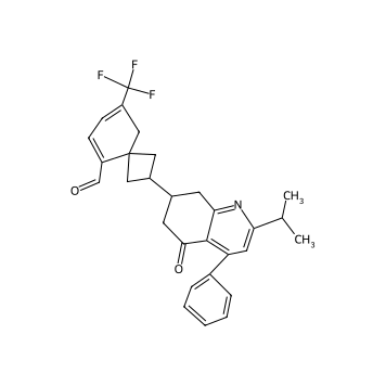 CC(C)c1cc(-c2ccccc2)c2c(n1)CC(C1CC3(CC(C(F)(F)F)=CC=C3C=O)C1)CC2=O